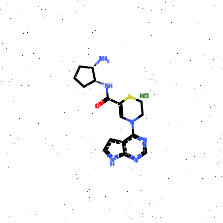 Cl.N[C@H]1CCC[C@H]1NC(=O)C1=CN(c2ncnc3[nH]ccc23)CCS1